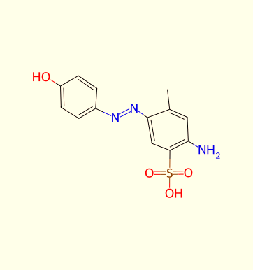 Cc1cc(N)c(S(=O)(=O)O)cc1N=Nc1ccc(O)cc1